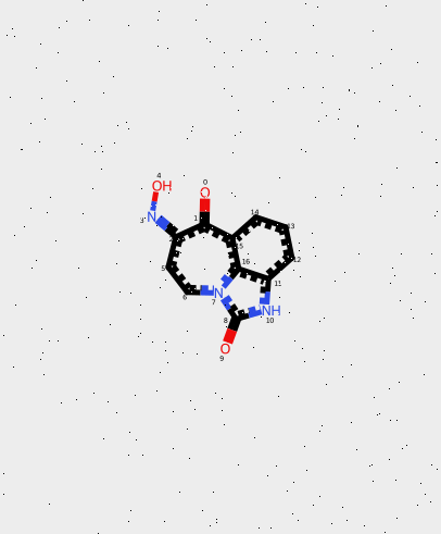 O=c1c(=NO)ccn2c(=O)[nH]c3cccc1c32